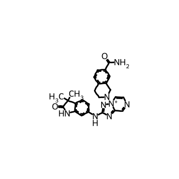 CC1(C)C(=O)Nc2cc(NC3=N[N+]4(N5CCc6ccc(C(N)=O)cc6C5)C=CN=CC4=N3)ccc21